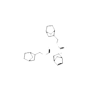 O=C(OCC1CC2CCC1C2)[C@@H]1C2C=CC(C2)[C@@H]1C(=O)OCC1CC2CCC1C2